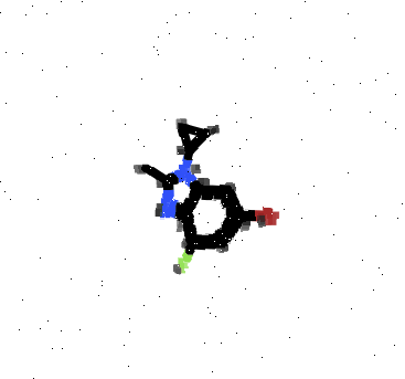 Cc1nc2c(F)cc(Br)cc2n1C1CC1